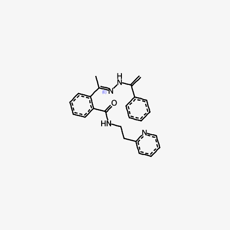 C=C(N/N=C(\C)c1ccccc1C(=O)NCCc1ccccn1)c1ccccc1